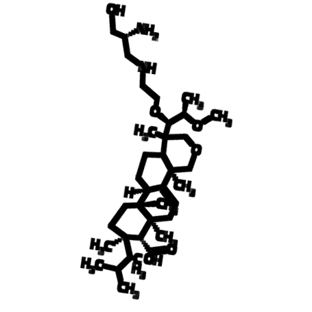 CO[C@H](C)[C@H](OCCNC[C@@H](N)CO)C1(C)COC[C@@]2(C)C3=CC[C@@]4(C)[C@H](C(=O)O)[C@@](C)([C@H](C)C(C)C)CC[C@]4(C)[C@H]3CCC12